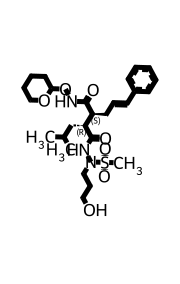 CC(C)C[C@@H](C(=O)NN(CCCO)S(C)(=O)=O)[C@H](CC=Cc1ccccc1)C(=O)NOC1CCCCO1